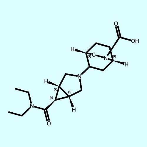 CCN(CC)C(=O)[C@H]1[C@@H]2CN(C3C[C@H]4CC[C@@H]3CN4C(=O)O)C[C@@H]21